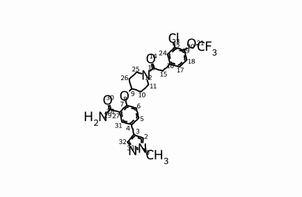 Cn1cc(-c2ccc(OC3CCN(C(=O)Cc4ccc(OC(F)(F)F)c(Cl)c4)CC3)c(C(N)=O)c2)cn1